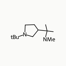 CNC(C)(C)C1CCN(C(C)(C)C)C1